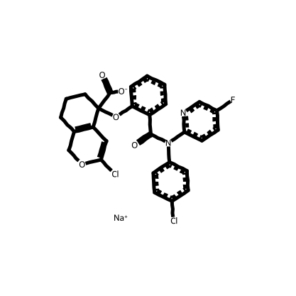 O=C(c1ccccc1OC1(C(=O)[O-])CCCC2=C1C=C(Cl)OC2)N(c1ccc(Cl)cc1)c1ccc(F)cn1.[Na+]